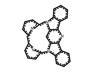 c1ccc2c(c1)c1nc3c4ccccc4n4c5cccc(n5)c5cccc(n5)n2c1cc34